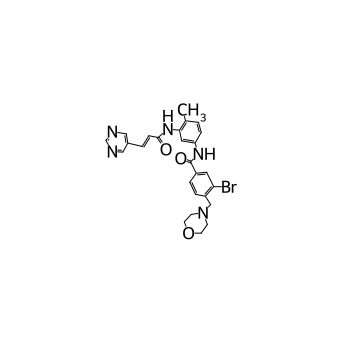 Cc1ccc(NC(=O)c2ccc(CN3CCOCC3)c(Br)c2)cc1NC(=O)C=Cc1cncnc1